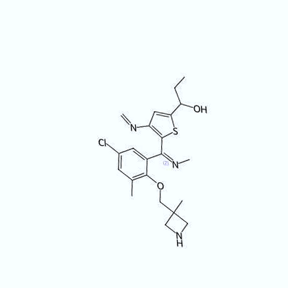 C=Nc1cc(C(O)CC)sc1/C(=N\C)c1cc(Cl)cc(C)c1OCC1(C)CNC1